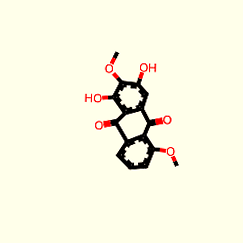 COc1cccc2c1C(=O)c1cc(O)c(OC)c(O)c1C2=O